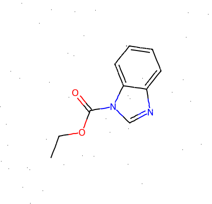 CCOC(=O)n1cnc2cc[c]cc21